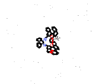 CC(=O)OC1CCOc2c(cc3ccccc3c2-c2c(-c3ccccc3)ccc3c2CC=CC3)/C=N/[C@@H](c2ccccc2)C(c2ccccc2)/N=C/c2cc3ccccc3c(-c3c(-c4ccccc4)ccc4ccccc34)c2O1